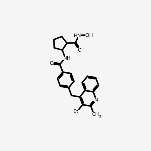 CCc1c(C)nc2ccccc2c1Cc1ccc(C(=O)NC2CCCC2C(=O)NO)cc1